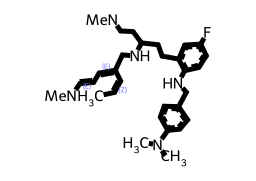 C\C=C/C(=C\C=C\NC)CNC(CCNC)CCc1cc(F)ccc1NCc1ccc(N(C)C)cc1